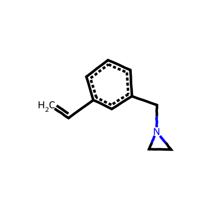 C=Cc1cccc(CN2CC2)c1